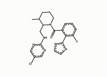 CC1CCCN(C(=O)c2cccc(F)c2-n2nccn2)C1CNc1ncc(Cl)cn1